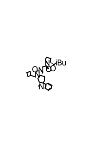 CCC(C)C(=O)[C@@H]1CCCN1C(=O)CN1C[C@]2(CC[C@](c3ccccc3)(N(C)C)CC2)N(CC2CCC2)C1=O